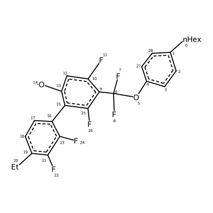 CCCCCCc1ccc(OC(F)(F)c2c(F)cc([O])c(-c3ccc(CC)c(F)c3F)c2F)cc1